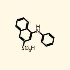 O=S(=O)(O)c1cc(Nc2ccccc2)c2ccccc2c1